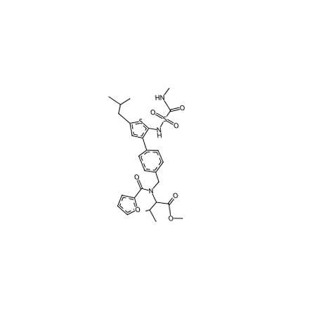 CNC(=O)S(=O)(=O)Nc1sc(CC(C)C)cc1-c1ccc(CN(C(=O)c2ccco2)C(C(=O)OC)C(C)C)cc1